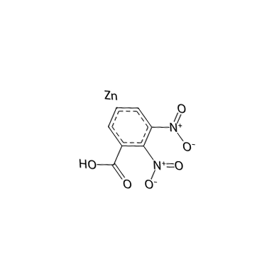 O=C(O)c1cccc([N+](=O)[O-])c1[N+](=O)[O-].[Zn]